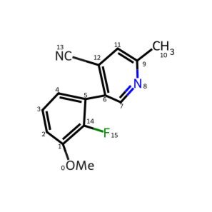 COc1cccc(-c2cnc(C)cc2C#N)c1F